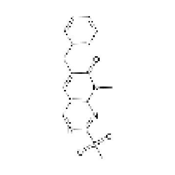 Cn1c(=O)c(Cc2ccccc2)cc2cnc(S(C)(=O)=O)nc21